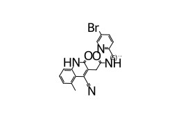 Cc1cccc2[nH]c(=O)c(CC(=O)N[C@@H](C)c3ccc(Br)cn3)c(C#N)c12